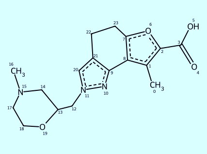 Cc1c(C(=O)O)oc2c1-c1nn(CC3CN(C)CCO3)cc1CC2